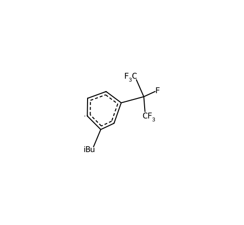 CCC(C)c1[c]ccc(C(F)(C(F)(F)F)C(F)(F)F)c1